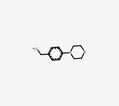 CCc1ccc(N2CC[N]CC2)cc1